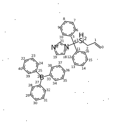 C=CC[SiH2]C(c1ccccc1)(c1ccccc1)n1ccnc1.c1ccc(B(c2ccccc2)c2ccccc2)cc1